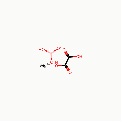 O=C(O)C(=O)O.[Mg+2].[O-]B([O-])O